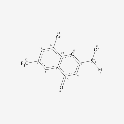 CC[S+]([O-])c1cc(=O)c2cc(C(F)(F)F)cc(C(C)=O)c2o1